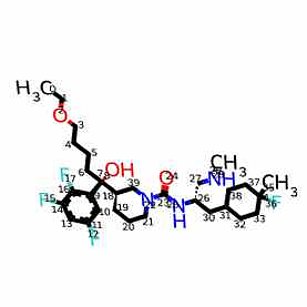 CCOCCCC[C@@](O)(c1cc(F)cc(F)c1F)[C@@H]1CCCN(C(=O)N[C@H](CNC)CC2CCC(C)(F)CC2)C1